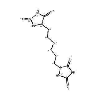 O=C1NC(=O)C(CCSSCCC2NC(=O)NC2=O)N1